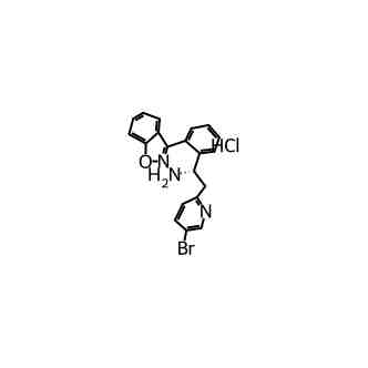 Cl.N[C@@H](Cc1ccc(Br)cn1)c1ccccc1-c1noc2ccccc12